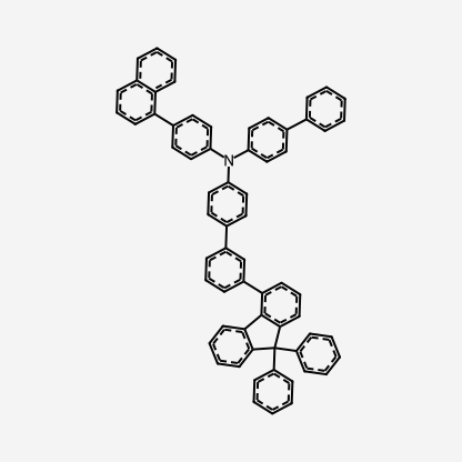 c1ccc(-c2ccc(N(c3ccc(-c4cccc(-c5cccc6c5-c5ccccc5C6(c5ccccc5)c5ccccc5)c4)cc3)c3ccc(-c4cccc5ccccc45)cc3)cc2)cc1